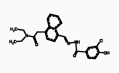 CCN(CC)C(=O)Cc1ccc(/C=N/NC(=O)c2ccc(O)c(Cl)c2)c2ccccc12